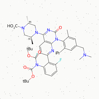 Cc1cc(CN(C)C)cc(C(C)C)c1-n1c(=O)nc(N2C[C@@H](C)N(C(=O)O)C[C@@H]2C)c2cc(F)c(-c3c(F)cccc3N(C(=O)OC(C)(C)C)C(=O)OC(C)(C)C)nc21